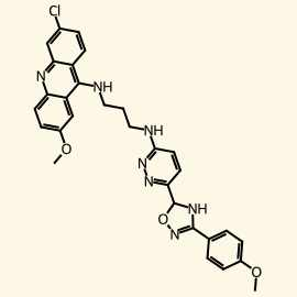 COc1ccc(C2=NOC(c3ccc(NCCCNc4c5ccc(Cl)cc5nc5ccc(OC)cc45)nn3)N2)cc1